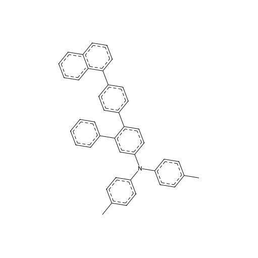 Cc1ccc(N(c2ccc(C)cc2)c2ccc(-c3ccc(-c4cccc5ccccc45)cc3)c(-c3ccccc3)c2)cc1